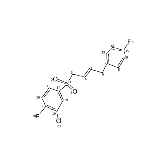 O=S(=O)(CC=CCc1ccc(F)cc1)c1ccc(F)c(Cl)c1